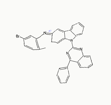 Cc1ccc(Br)cc1/N=C1/C=c2c(n(-c3nc(-c4ccccc4)c4ccccc4n3)c3ccccc23)=CC1